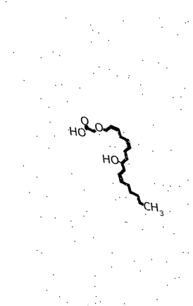 CCCCC/C=C\C[C@H](O)CC/C=C\C/C=C\COCC(=O)O